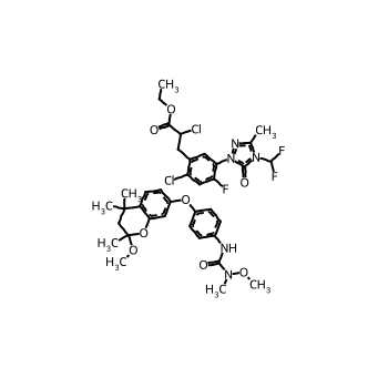 CCOC(=O)C(Cl)Cc1cc(-n2nc(C)n(C(F)F)c2=O)c(F)cc1Cl.CON(C)C(=O)Nc1ccc(Oc2ccc3c(c2)OC(C)(OC)CC3(C)C)cc1